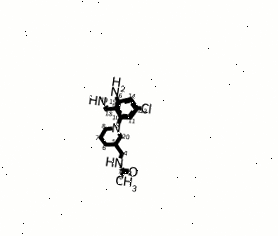 CC(=O)NCC1CCCN(c2cc(Cl)cc(N)c2C=N)C1